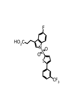 O=C(O)CCc1cn(S(=O)(=O)c2ccc(-c3cccc(C(F)(F)F)c3)s2)c2ccc(F)cc12